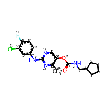 O=C(NCC1CCCC1)Oc1cnc(Nc2ccc(F)c(Cl)c2)nc1C(F)(F)F